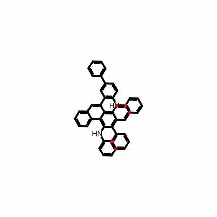 c1ccc(Nc2ccc(-c3ccccc3)cc2-c2cc3ccccc3c3c(Nc4ccccc4)c(-c4ccccc4)c4ccccc4c23)cc1